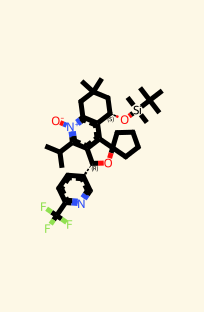 CC(C)c1c2c(c3c([n+]1[O-])CC(C)(C)C[C@@H]3O[Si](C)(C)C(C)(C)C)C1(CCCC1)O[C@@H]2c1ccc(C(F)(F)F)nc1